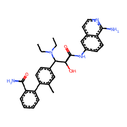 CCN(CC)C(c1ccc(-c2ccccc2C(N)=O)c(C)c1)C(O)C(=O)Nc1ccc2c(N)nccc2c1